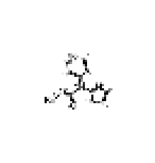 CC(C)(C)OC(=O)N(c1ccncc1)c1nccs1